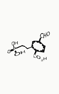 O=Cc1ccc(C(=O)O)c(CCP(=O)(O)O)c1